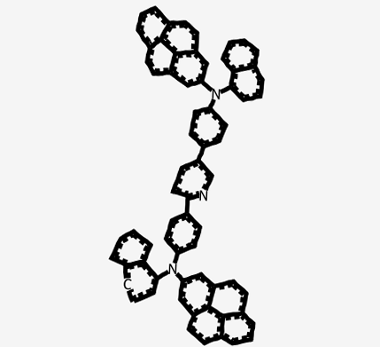 c1ccc2c(N(c3ccc(-c4ccc(-c5ccc(N(c6cc7ccc8cccc9ccc(c6)c7c89)c6cccc7ccccc67)cc5)nc4)cc3)c3cc4ccc5cccc6ccc(c3)c4c56)cccc2c1